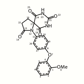 COc1ccccc1Oc1ccc(N2C(=O)CCC23C(=O)NC(=O)NC3=O)cc1